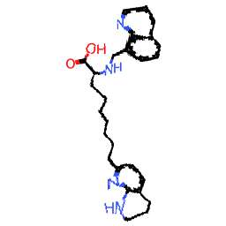 O=C(O)[C@H](CCCCCCCc1ccc2c(n1)NCCC2)NCc1cccc2cccnc12